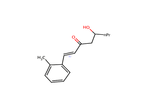 CCCC(O)CC(=O)/C=C/c1ccccc1C